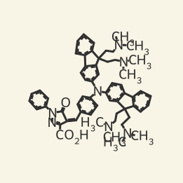 CN(C)CCC1(CCN(C)C)c2ccccc2-c2ccc(N(c3ccc(/C=C4\C(=O)N(c5ccccc5)N=C4C(=O)O)cc3)c3ccc4c(c3)C(CCN(C)C)(CCN(C)C)c3ccccc3-4)cc21